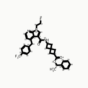 C[C@H](OC(=O)C1CC2(CC(NC(=O)c3cn(CCF)c4nccc(Cc5ccc(C(F)(F)F)cc5)c34)C2)C1)c1ccccc1